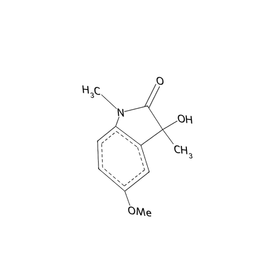 COc1ccc2c(c1)C(C)(O)C(=O)N2C